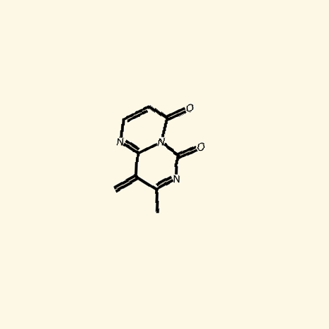 C=c1c(C)nc(=O)n2c(=O)ccnc12